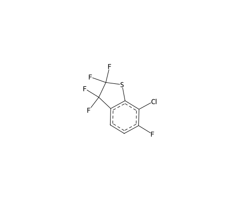 Fc1ccc2c(c1Cl)SC(F)(F)C2(F)F